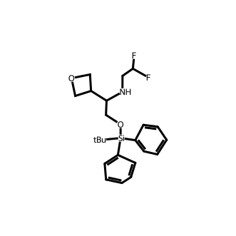 CC(C)(C)[Si](OCC(NCC(F)F)C1COC1)(c1ccccc1)c1ccccc1